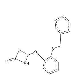 O=C1CC(Oc2ccccc2OCc2ccccc2)N1